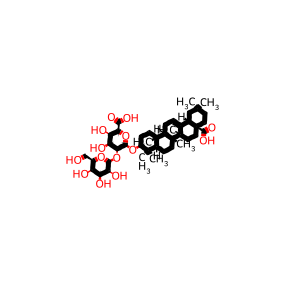 CC1(C)CC[C@]2(C(=O)O)CC[C@]3(C)C(=CC[C@@H]4[C@@]5(C)CC[C@H](O[C@@H]6O[C@H](C(=O)O)[C@@H](O)[C@H](O)[C@H]6O[C@@H]6O[C@H](CO)[C@@H](O)[C@H](O)[C@H]6O)C(C)(C)[C@@H]5CC[C@]43C)[C@@H]2C1